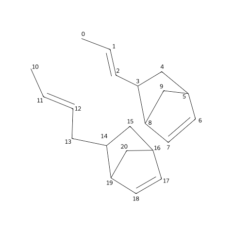 CC=CC1CC2C=CC1C2.CC=CCC1CC2C=CC1C2